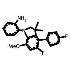 COc1cc(F)c(-c2ccc(F)cc2)c2c1N(c1ccccc1N)CC2(C)C